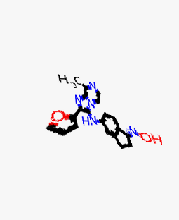 Cc1nccn2c(Nc3ccc4c(c3)CC/C4=N\O)c(-c3ccco3)nc12